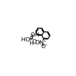 O=[N+]([O-])c1cccc2ccccc12.O=[PH](O)O